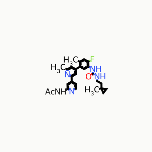 CC(=O)Nc1cc(-c2cc(-c3cc(NC(=O)NCCC4(C)CC4)c(F)cc3C)cc(C)n2)ccn1